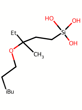 CCC(C)CCOC(C)(CC)CC[Si](O)(O)O